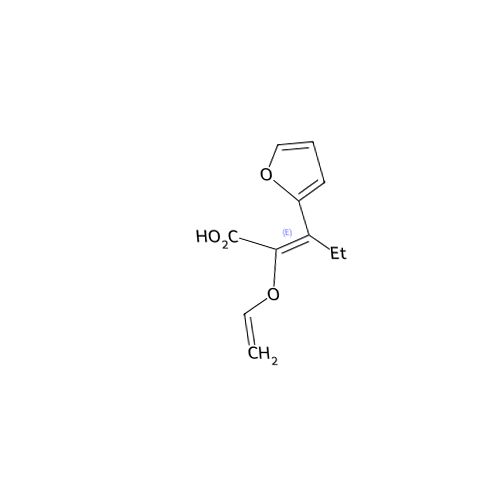 C=CO/C(C(=O)O)=C(\CC)c1ccco1